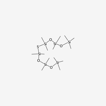 C[Si](C)(C)O[Si](C)(C)O[Si](C)(C)S[Si](C)(C)O[Si](C)(C)O[Si](C)(C)C